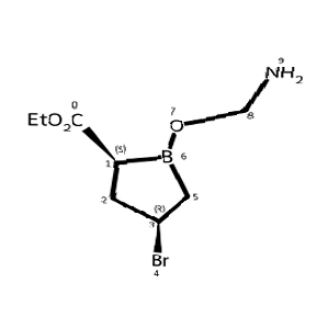 CCOC(=O)[C@@H]1C[C@H](Br)CB1OCN